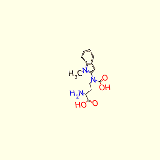 Cn1c(N(CCC(N)C(=O)O)C(=O)O)cc2ccccc21